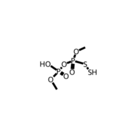 COP(=O)(O)OP(=O)(OC)SS